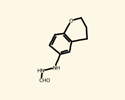 O=CNNc1ccc2c(c1)CCCO2